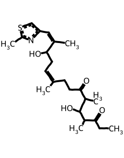 CCC(=O)C(C)C(O)C(C)C(=O)CCC(C)=CCC(O)C(C)=Cc1csc(C)n1